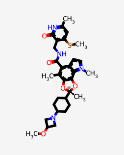 COC1CN(C2CCC([C@]3(C)Oc4c(C)c(C(=O)NCc5c(SC)cc(C)[nH]c5=O)c5ccn(C)c5c4O3)CC2)C1